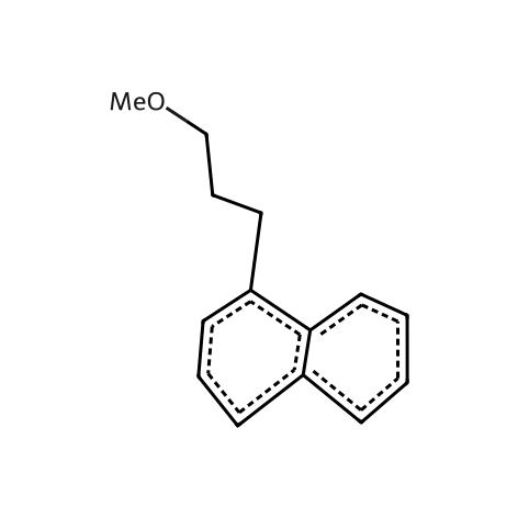 [CH2]OCCCc1cccc2ccccc12